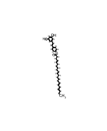 CCC=CCC=CCC=CCC=CCC=CCC=CCCC(=O)Oc1ccc(C=Cc2cc(O)cc(O)c2)cc1